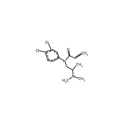 C=CC(=O)N(CC(C)N(C)C)c1ccc(Cl)c(Cl)c1